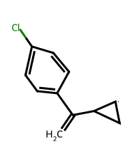 C=C(c1ccc(Cl)cc1)C1[CH]C1